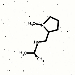 CC(C)NCC1CCCN1C